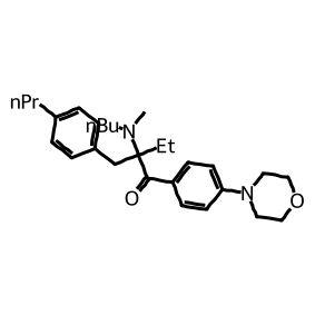 CCCCN(C)C(CC)(Cc1ccc(CCC)cc1)C(=O)c1ccc(N2CCOCC2)cc1